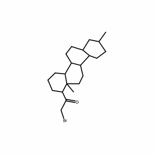 CC1CCC2C(CCC3C2CCC2(C)C(C(=O)CBr)CCCC32)C1